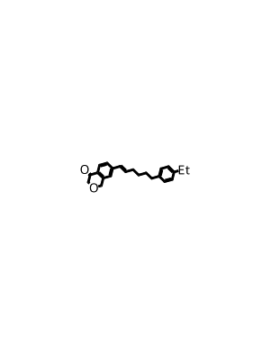 CCc1ccc(CCCCC=Cc2ccc3c(c2)COCC3=O)cc1